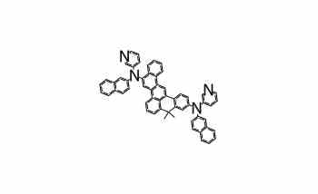 CC1(C)c2cc(N(c3cccnc3)c3ccc4ccccc4c3)ccc2-c2cc3c4ccccc4c(N(c4cccnc4)c4ccc5ccccc5c4)cc3c3cccc1c23